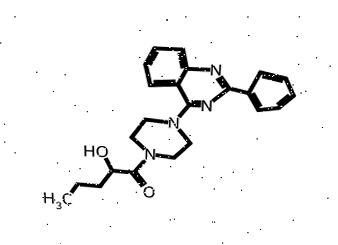 CCCC(O)C(=O)N1CCN(c2nc(-c3ccccc3)nc3ccccc23)CC1